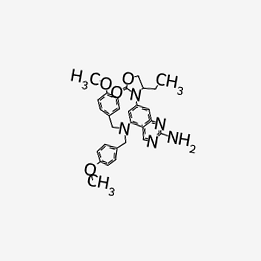 CCC1COC(=O)N1c1cc(N(Cc2ccc(OC)cc2)Cc2ccc(OC)cc2)c2cnc(N)nc2c1